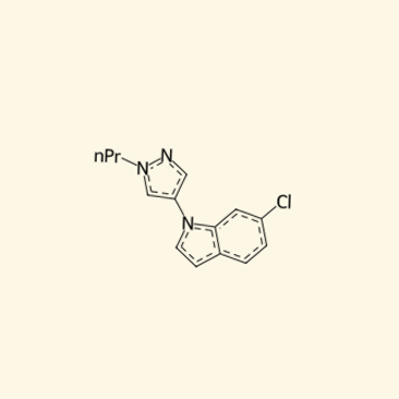 CCCn1cc(-n2ccc3ccc(Cl)cc32)cn1